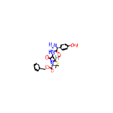 CC1(C)S[C@@H]2C(NC(=O)C(N)c3ccc(O)cc3)C(=O)N2[C@H]1C(=O)OCc1ccccc1